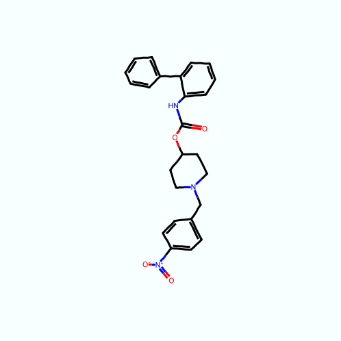 O=C(Nc1ccccc1-c1ccccc1)OC1CCN(Cc2ccc([N+](=O)[O-])cc2)CC1